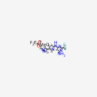 COc1cc(Nc2cc(N)nc(C(F)F)n2)ncc1-c1cnn(CCOC(=O)C(F)(F)F)c1